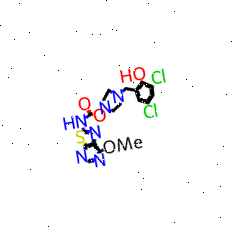 COc1ncnc2sc(NC(=O)ON3CCN(Cc4cc(Cl)cc(Cl)c4O)CC3)nc12